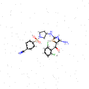 N#Cc1ccc(S(=O)(=O)N2CCC(Nc3nc(N)c(C(=O)c4c(F)cccc4F)s3)C2)cc1